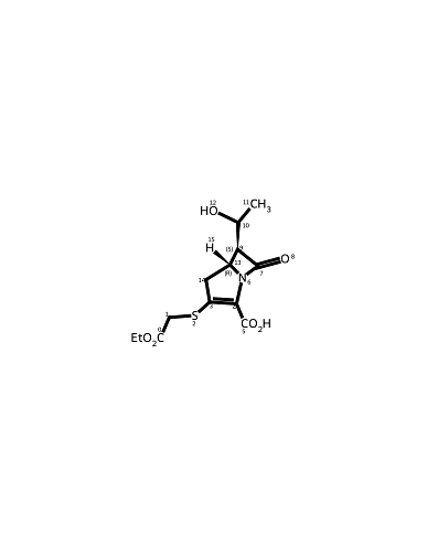 CCOC(=O)CSC1=C(C(=O)O)N2C(=O)[C@H](C(C)O)[C@H]2C1